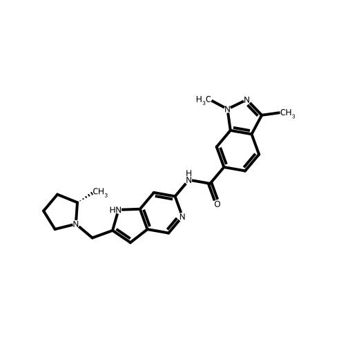 Cc1nn(C)c2cc(C(=O)Nc3cc4[nH]c(CN5CCC[C@@H]5C)cc4cn3)ccc12